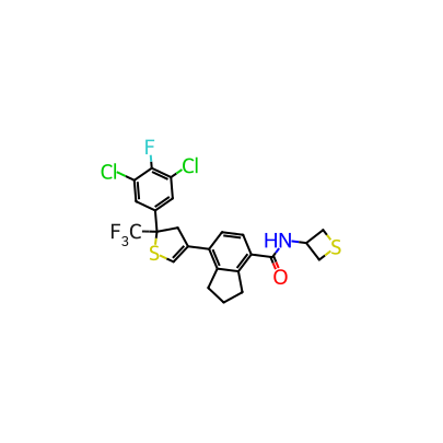 O=C(NC1CSC1)c1ccc(C2=CSC(c3cc(Cl)c(F)c(Cl)c3)(C(F)(F)F)C2)c2c1CCC2